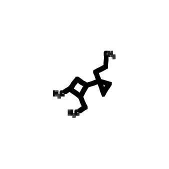 CCCC1([C]2CC(C)C2CC)CC1